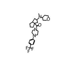 CN(C1CCOCC1)C1CC2CCCC2(C(=O)N2CCN(c3ccc(C(F)(F)F)cc3)CC2)C1